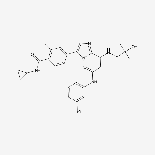 Cc1cc(-c2cnc3c(NCC(C)(C)O)cc(Nc4cccc(C(C)C)c4)nn23)ccc1C(=O)NC1CC1